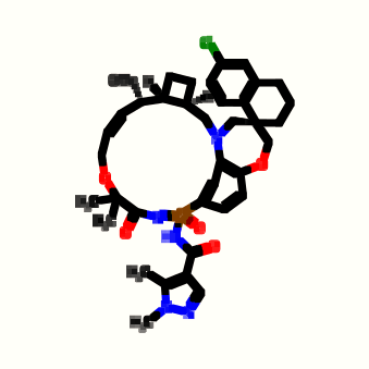 CO[C@H]1C=CCOC(C)(C)C(=O)N=S(=O)(NC(=O)c2cnn(C)c2C)c2ccc3c(c2)N(C[C@@H]2CC[C@H]21)C[C@@]1(CCCc2cc(Cl)ccc21)CO3